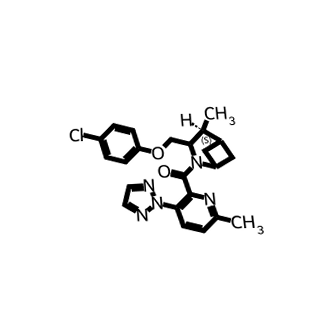 Cc1ccc(-n2nccn2)c(C(=O)N2C3CC(C3)[C@H](C)C2COc2ccc(Cl)cc2)n1